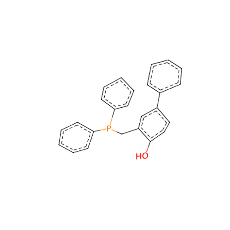 Oc1ccc(-c2ccccc2)cc1CP(c1ccccc1)c1ccccc1